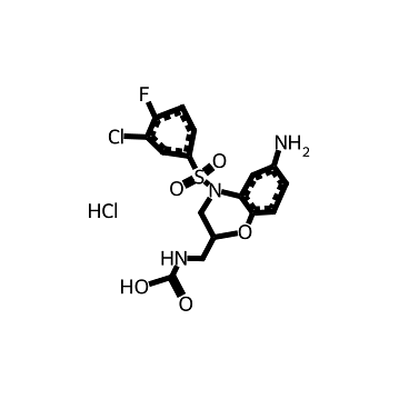 Cl.Nc1ccc2c(c1)N(S(=O)(=O)c1ccc(F)c(Cl)c1)CC(CNC(=O)O)O2